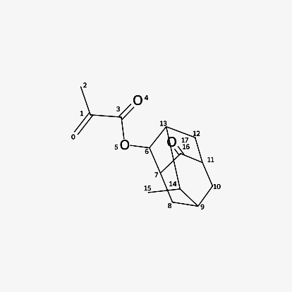 C=C(C)C(=O)OC1C2CC3CC(CC1C3C)C2=O